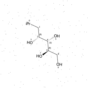 CC(C)C[C@@H](O)[C@H](O)[C@H](O)CO